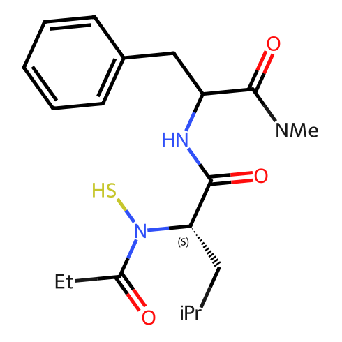 CCC(=O)N(S)[C@@H](CC(C)C)C(=O)NC(Cc1ccccc1)C(=O)NC